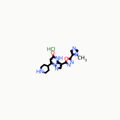 Cl.Cn1cncc1-c1nnc(-c2cnn3c(C4CCNCC4)cc(=O)[nH]c23)o1